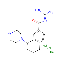 Cl.Cl.Cl.NC(N)=NC(=O)c1ccc2c(c1)C(N1CCNCC1)CCC2